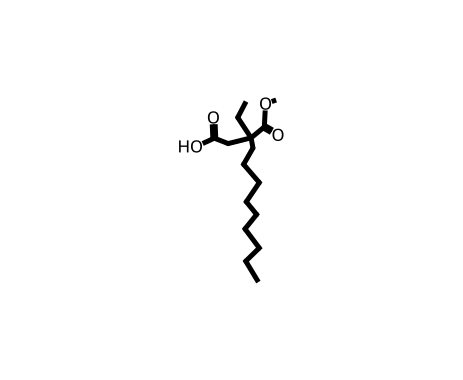 CCCCCCCCCC(CC)(CC(=O)O)C(=O)OC